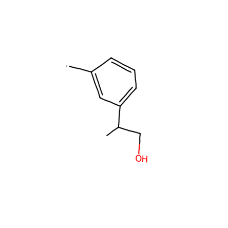 [CH2]c1cccc(C(C)CO)c1